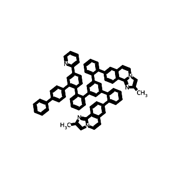 Cc1cn2ccc3cc(-c4ccccc4-c4cc(-c5ccccc5-c5ccc6c(ccn7cc(C)nc67)c5)cc(-c5ccccc5-c5ccc(-c6ccccn6)cc5-c5ccc(-c6ccccc6)cc5)c4)ccc3c2n1